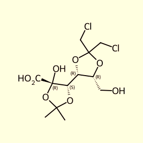 CC1(C)O[C@@H]([C@@H]2OC(CCl)(CCl)O[C@@H]2CO)[C@](O)(C(=O)O)O1